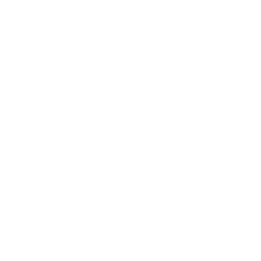 Cc1cc(SCC=C(c2ccc(Cl)cc2)c2ccc(Cl)cc2)ccc1OCC(=O)O